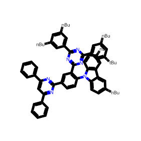 CCCCc1cc(CCCC)cc(-c2nc(-c3cc(CCCC)cc(C(C)(C)C)c3)nc(-c3cc(-c4nc(-c5ccccc5)cc(-c5ccccc5)n4)ccc3-n3c4ccc(CCCC)cc4c4cc(CCCC)ccc43)n2)c1